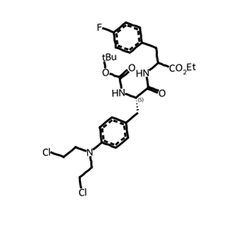 CCOC(=O)C(Cc1ccc(F)cc1)NC(=O)[C@H](Cc1ccc(N(CCCl)CCCl)cc1)NC(=O)OC(C)(C)C